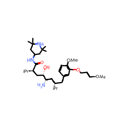 COCCCOc1cc(C[C@@H](C[C@H](N)[C@@H](O)C[C@H](C(=O)NC2CC(C)(C)NC(C)(C)C2)C(C)C)C(C)C)ccc1OC